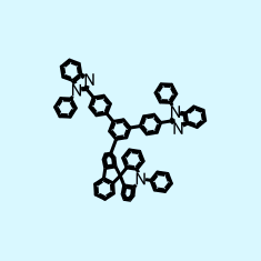 c1ccc(N2c3ccccc3C3(c4ccccc4-c4ccc(-c5cc(-c6ccc(-c7nc8ccccc8n7-c7ccccc7)cc6)cc(-c6ccc(-c7nc8ccccc8n7-c7ccccc7)cc6)c5)cc43)c3ccccc32)cc1